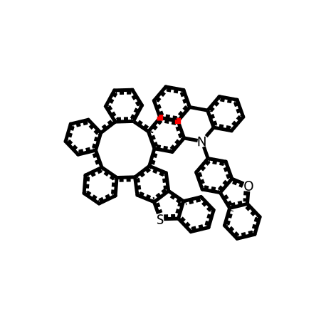 c1ccc(-c2ccccc2N(c2ccc3c(c2)oc2ccccc23)c2ccc3c4ccccc4c4ccccc4c4ccccc4c4cc5sc6ccccc6c5cc4c3c2)cc1